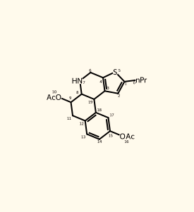 CCCc1cc2c(s1)CNC1C(OC(C)=O)Cc3ccc(OC(C)=O)cc3C21